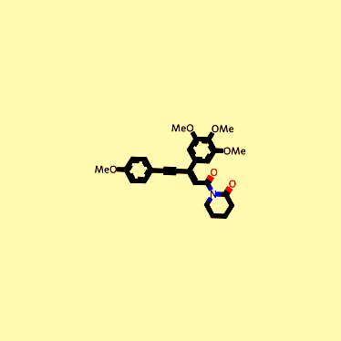 COc1ccc(C#C/C(=C/C(=O)N2CCCCC2=O)c2cc(OC)c(OC)c(OC)c2)cc1